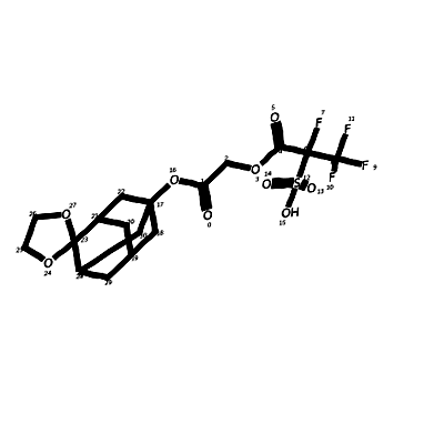 O=C(COC(=O)C(F)(C(F)(F)F)S(=O)(=O)O)OC12CC3CC(C1)C1(OCCO1)C(C3)C2